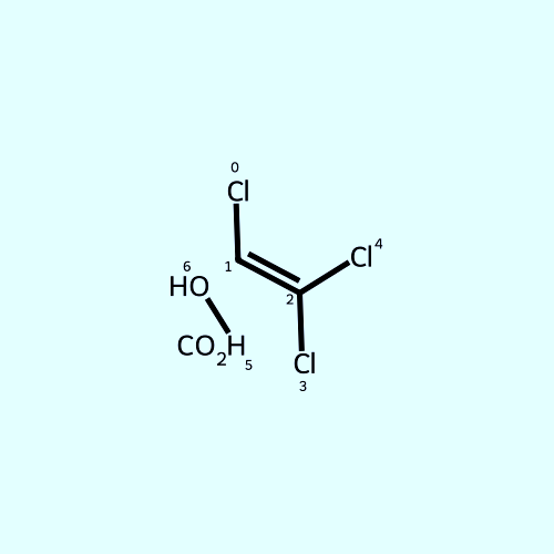 ClC=C(Cl)Cl.O=C(O)O